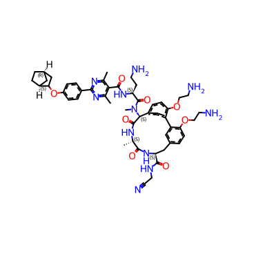 Cc1nc(-c2ccc(OC3C[C@@H]4CC[C@H]3C4)cc2)nc(C)c1C(=O)N[C@@H](CCN)C(=O)N(C)[C@@H]1C(=O)N[C@@H](C)C(=O)N[C@H](C(=O)NCC#N)Cc2ccc(OCCN)c(c2)-c2cc1ccc2OCCN